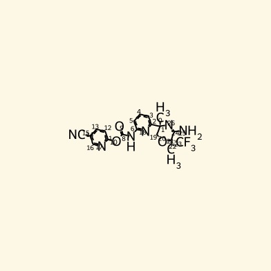 C[C@]1(c2cccc(NC(=O)Oc3ccc(C#N)cn3)n2)CO[C@@](C)(C(F)(F)F)C(N)=N1